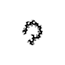 CCc1cc(-c2cc(CC)c(-c3cc(CC)c(-c4ccc(-c5ccc(-c6ccc(-c7ccc(-c8sc(-c9sccc9CC)cc8CC)s7)s6)s5)s4)s3)s2)sc1C